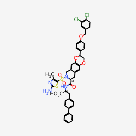 Cc1nc(N)sc1S(=O)(=O)N1Cc2cc3c(cc2C[C@H]1C(=O)N[C@@H](Cc1ccc(-c2ccccc2)cc1)C(=O)O)OCC(c1ccc(OCc2ccc(Cl)c(Cl)c2)cc1)O3